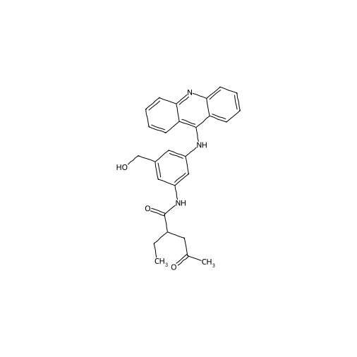 CCC(CC(C)=O)C(=O)Nc1cc(CO)cc(Nc2c3ccccc3nc3ccccc23)c1